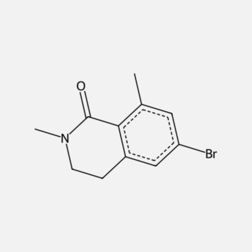 Cc1cc(Br)cc2c1C(=O)N(C)CC2